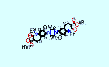 CCN1C(=O)[C@@H](C(=O)OC(C)(C)C)CCc2cc(N3CCN(c4cc5c(cc4OC)N(CC)C(=O)[C@@H](C(=O)OC(C)(C)C)CC5)CC3)c(OC)cc21